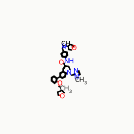 C1CCOC1.CCOc1ccccc1-c1ccc2c(c1)C=C(C(=O)Nc1ccc(CN(C)C3CCOCC3)cc1)CCN2Cc1nccn1C